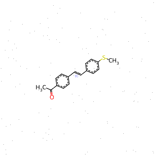 CSc1ccc(/C=C/c2ccc(C(C)=O)cc2)cc1